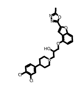 Cc1nnc(-c2cc3c(OCC(O)CN4CCC(c5ccc(Cl)c(Cl)c5)CC4)cccc3o2)o1